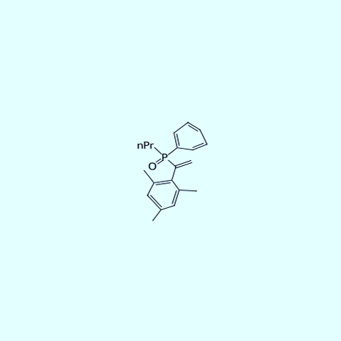 C=C(c1c(C)cc(C)cc1C)P(=O)(CCC)c1ccccc1